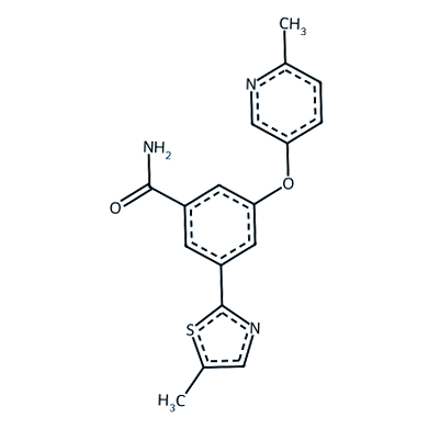 Cc1ccc(Oc2cc(C(N)=O)cc(-c3ncc(C)s3)c2)cn1